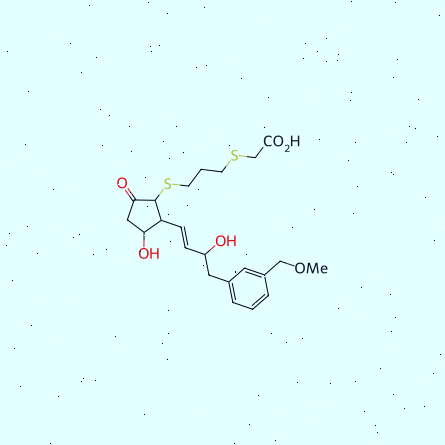 COCc1cccc(CC(O)C=CC2C(O)CC(=O)C2SCCCSCC(=O)O)c1